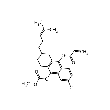 C=CC(=O)Oc1c2c(c(OC(=O)OC)c3cc(Cl)ccc13)CCC(CCC=C(C)C)C2